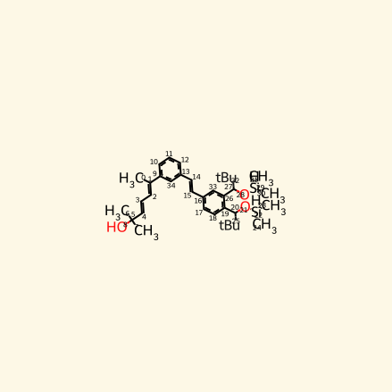 CC(=CC=CC(C)(C)O)c1cccc(C=Cc2ccc(C(O[SiH](C)C)C(C)(C)C)c(C(O[SiH](C)C)C(C)(C)C)c2)c1